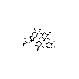 O=c1[nH]cccc1Cn1c(=O)nc(Nc2cc3cn(CC(F)F)nc3cc2Cl)n(Cc2cc(F)c(F)c(F)c2)c1=O